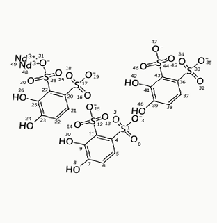 O=S(=O)([O-])c1ccc(O)c(O)c1S(=O)(=O)[O-].O=S(=O)([O-])c1ccc(O)c(O)c1S(=O)(=O)[O-].O=S(=O)([O-])c1ccc(O)c(O)c1S(=O)(=O)[O-].[Nd+3].[Nd+3]